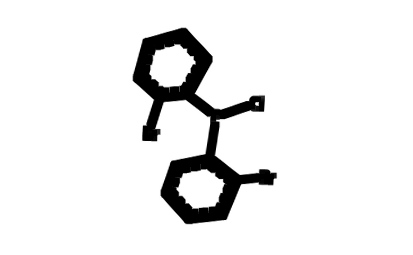 ClP(c1ccccc1Br)c1ccccc1Br